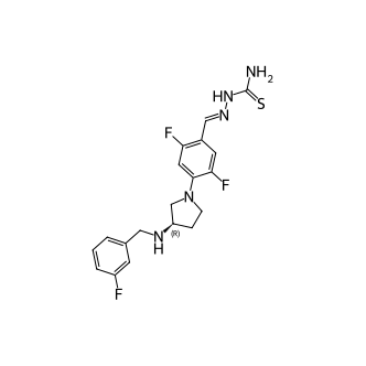 NC(=S)NN=Cc1cc(F)c(N2CC[C@@H](NCc3cccc(F)c3)C2)cc1F